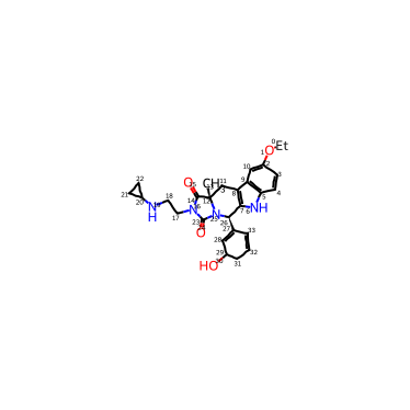 CCOc1ccc2[nH]c3c(c2c1)C[C@@]1(C)C(=O)N(CCNC2CC2)C(=O)N1[C@@H]3C1=CC(O)CC=C1